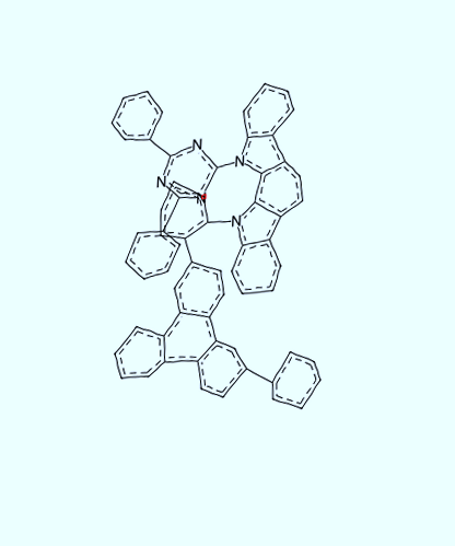 c1ccc(-c2ccc3c4ccccc4c4cc(-c5ccccc5-n5c6ccccc6c6ccc7c8ccccc8n(-c8nc(-c9ccccc9)nc(-c9ccccc9)n8)c7c65)ccc4c3c2)cc1